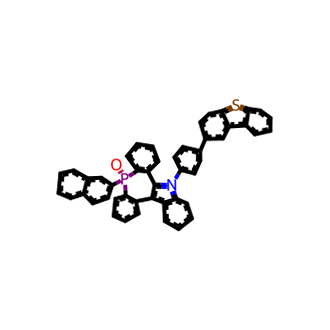 O=P1(c2ccc3ccccc3c2)c2ccccc2-c2c(n(-c3ccc(-c4ccc5sc6ccccc6c5c4)cc3)c3ccccc23)-c2ccccc21